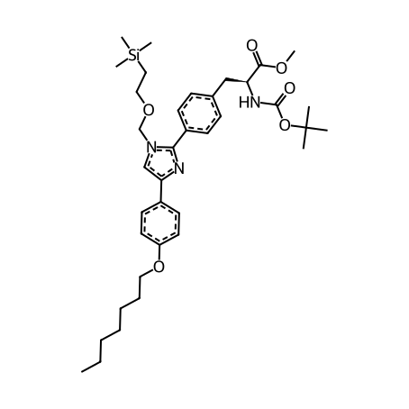 CCCCCCCOc1ccc(-c2cn(COCC[Si](C)(C)C)c(-c3ccc(C[C@H](NC(=O)OC(C)(C)C)C(=O)OC)cc3)n2)cc1